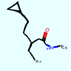 CCNC(=O)C(CCC1CC1)CC(C)(C)C